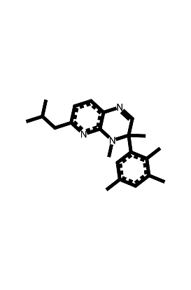 Cc1cc(C)c(C)c(C2(C)C=Nc3ccc(CC(C)C)nc3N2C)c1